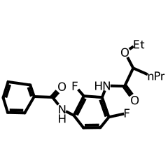 CCCC(OCC)C(=O)Nc1c(F)ccc(NC(=O)c2ccccc2)c1F